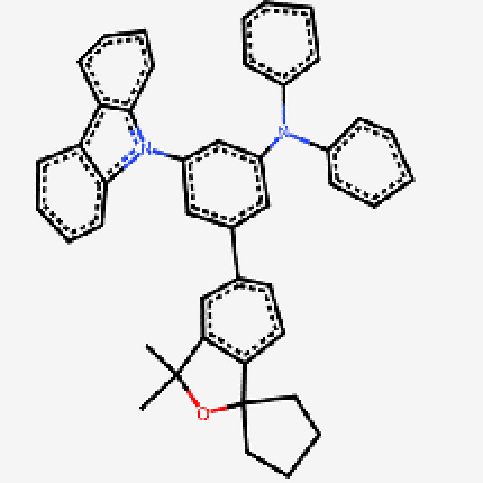 CC1(C)OC2(CCCC2)c2ccc(-c3cc(N(c4ccccc4)c4ccccc4)cc(-n4c5ccccc5c5ccccc54)c3)cc21